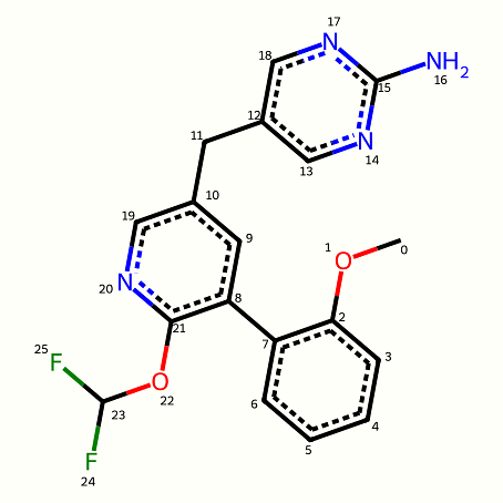 COc1ccccc1-c1cc(Cc2cnc(N)nc2)cnc1OC(F)F